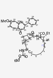 CCOC(=O)[C@@]12C[C@H]1/C=C\CCCCCN(NC(=O)OC(C)(C)C)C[C@@H]1C[C@H](Oc3cc(-c4ccccc4)nc4cc(OC)ccc34)C[C@H]1C(=O)N2